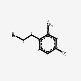 FC(F)(F)c1cc(Br)ccc1CCBr